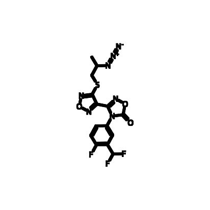 CC(CSc1nonc1-c1noc(=O)n1-c1ccc(F)c(C(F)F)c1)N=[N+]=[N-]